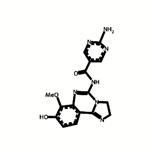 COc1c(O)ccc2c1N=C(NC(=O)c1cnc(N)nc1)N1CCN=C21